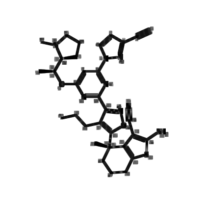 C#Cc1ccn(-c2cc(O[C@@H](C)[C@@H]3CCCN3C)nc(-c3noc([C@@]4(C)CCCc5sc(N)c(C#N)c54)c3CCC)n2)n1